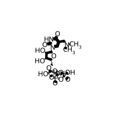 CN(C)Cc1cn([C@@H]2O[C@H](COP(=O)(O)OP(=O)(O)OP(=O)(O)O)[C@@H](O)[C@H]2O)c(=O)[nH]c1=O